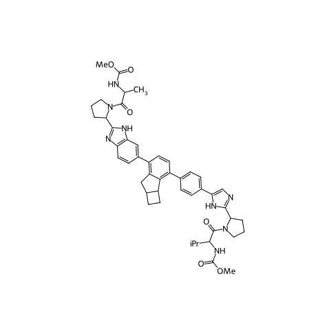 COC(=O)NC(C)C(=O)N1CCCC1c1nc2ccc(-c3ccc(-c4ccc(-c5cnc(C6CCCN6C(=O)C(NC(=O)OC)C(C)C)[nH]5)cc4)c4c3CC3CCC43)cc2[nH]1